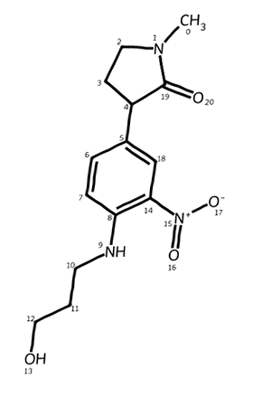 CN1CCC(c2ccc(NCCCO)c([N+](=O)[O-])c2)C1=O